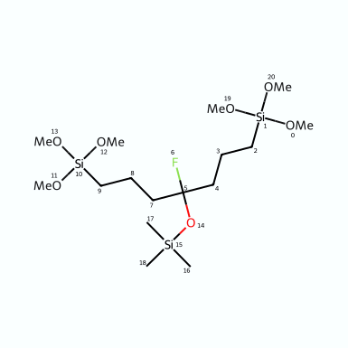 CO[Si](CCCC(F)(CCC[Si](OC)(OC)OC)O[Si](C)(C)C)(OC)OC